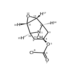 CN1[C@@H]2C[C@@H](OC(=O)Cl)C[C@H]1[C@@H]1O[C@@H]12